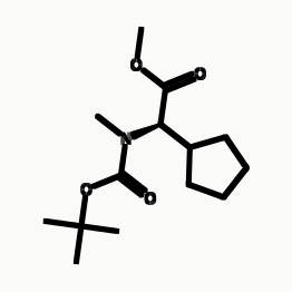 COC(=O)[C@@H](C1CCCC1)N(C)C(=O)OC(C)(C)C